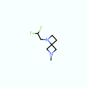 CN1CC2(CCN2CC(F)F)C1